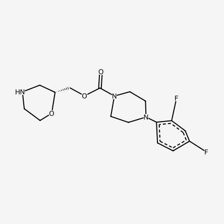 O=C(OC[C@H]1CNCCO1)N1CCN(c2ccc(F)cc2F)CC1